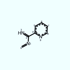 C=NC(=N)c1ccccn1